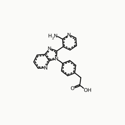 Nc1ncccc1-c1nc2cccnc2n1-c1ccc(CC(=O)O)cc1